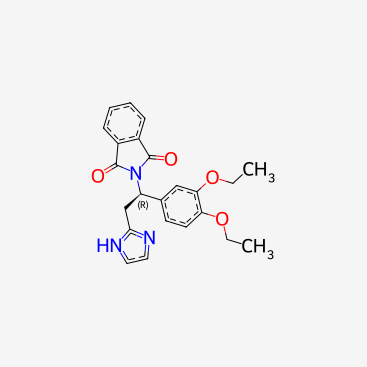 CCOc1ccc([C@@H](Cc2ncc[nH]2)N2C(=O)c3ccccc3C2=O)cc1OCC